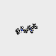 c1ccc(N(c2ccc3c(c2)-c2ccccc2C32CCCC2)c2ccc3ccc4c5cc(N(c6ccccc6)c6ccc7c(c6)-c6ccccc6C76CCCC6)c6ccccc6c5sc4c3c2)cc1